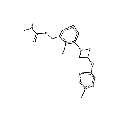 CNC(=O)OCc1cccc(N2CC(Oc3ccc(C)nc3)C2)c1F